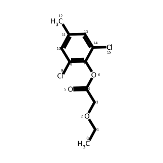 CCOCC(=O)Oc1c(Cl)cc(C)cc1Cl